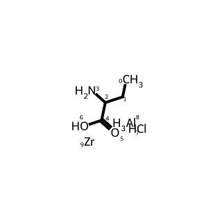 CCC(N)C(=O)O.Cl.[AlH3].[Zr]